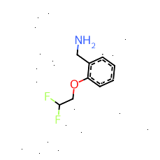 NCc1[c]cccc1OCC(F)F